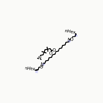 CCCCCC/C=C\CO/N=C/CCCCCCC(CCCCCC/C=N/OC/C=C\CCCCCC)OC(=O)CC(C)(C)CC(C)(C)CCN(C)C